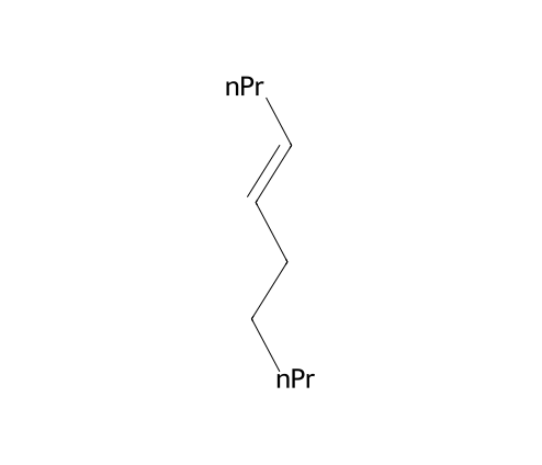 CCCC=CCCCCC